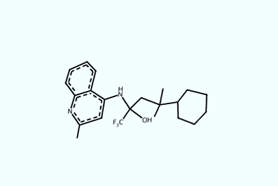 Cc1cc(NC(O)(CC(C)(C)C2CCCCC2)C(F)(F)F)c2ccccc2n1